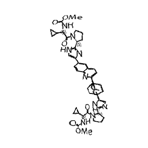 COC(=O)N[C@H](C(=O)N1CCC[C@H]1c1nc(-c2ccc3nc(C45CCC(c6cnc([C@@H]7CCCN7C(=O)[C@@H](NC(=O)OC)C7CC7)[nH]6)(CC4)CC5)ccc3c2)c[nH]1)C1CC1